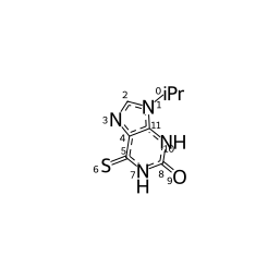 CC(C)n1cnc2c(=S)[nH]c(=O)[nH]c21